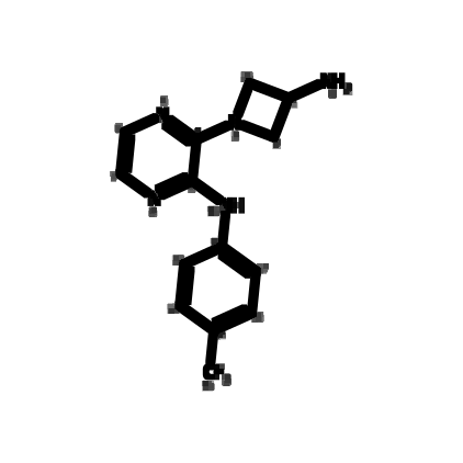 NC1CN(c2nccnc2Nc2ccc(C(F)(F)F)cc2)C1